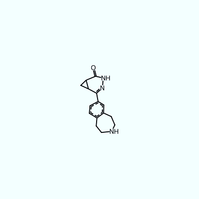 O=C1NN=C(c2ccc3c(c2)CCNCC3)C2CC12